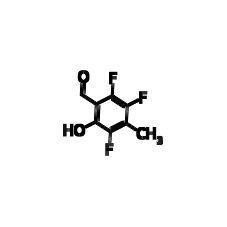 Cc1c(F)c(O)c(C=O)c(F)c1F